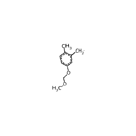 [CH2]c1cc(OCOC)ccc1C